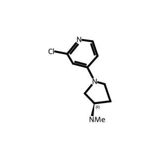 CN[C@@H]1CCN(c2ccnc(Cl)c2)C1